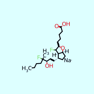 CCCCC(C)(F)[C@H](O)C=C[C@H]1CC[C@@H]2OC(=CCCCC(=O)O)C(F)[C@@H]21.[Na]